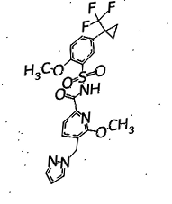 COc1ccc(C2(C(F)(F)F)CC2)cc1S(=O)(=O)NC(=O)c1ccc(Cn2cccn2)c(OC)n1